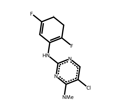 CNc1nc(NC2=C(F)C[CH]C(F)=C2)ncc1Cl